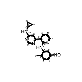 Cc1ccc(N=O)cc1Nc1ncccc1-c1cc(NC2CC2)ncn1